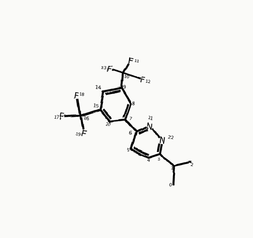 CC(C)c1ccc(-c2cc(C(F)(F)F)cc(C(F)(F)F)c2)nn1